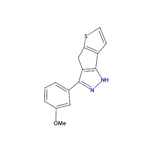 COc1cccc(-c2n[nH]c3c2Cc2sccc2-3)c1